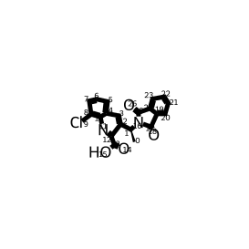 C[C@@H](c1cc2cccc(Cl)c2nc1C(=O)O)N1C(=O)c2ccccc2C1=O